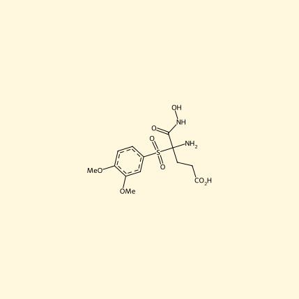 COc1ccc(S(=O)(=O)C(N)(CCC(=O)O)C(=O)NO)cc1OC